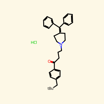 CC(C)(C)Cc1ccc(C(=O)CCCN2CCC(=C(c3ccccc3)c3ccccc3)CC2)cc1.Cl